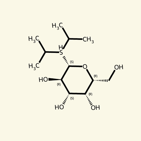 CC(C)[SH](C(C)C)[C@@H]1O[C@H](CO)[C@H](O)[C@H](O)[C@H]1O